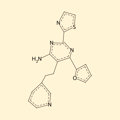 Nc1nc(-c2nccs2)nc(-c2ccco2)c1CCc1cccnc1